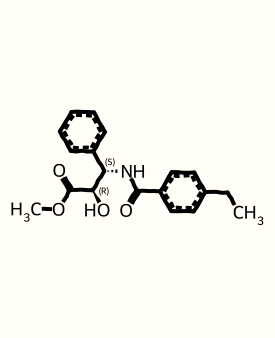 CCc1ccc(C(=O)N[C@@H](c2ccccc2)[C@@H](O)C(=O)OC)cc1